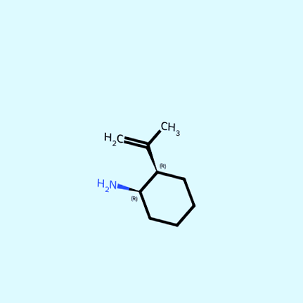 C=C(C)[C@H]1CCCC[C@H]1N